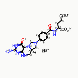 Nc1nc2c(c(=O)[nH]1)N1CN(c3ccc(C(=O)N[C@@H](CCC(=O)[O-])C(=O)O)cc3)C[C@H]1CN2.[Na+]